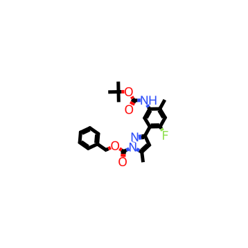 Cc1cc(F)c(-c2cc(C)n(C(=O)OCc3ccccc3)n2)cc1NC(=O)OC(C)(C)C